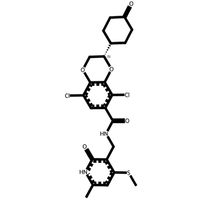 CSc1cc(C)[nH]c(=O)c1CNC(=O)c1cc(Cl)c2c(c1Cl)O[C@@H](C1CCC(=O)CC1)CO2